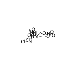 CCn1c(=O)[nH]/c(=N\c2ccc(OC3C=CC=C(C(=O)OC)N3)cc2)n(Cc2ccc(Cl)cn2)c1=O